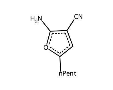 CCCCCc1cc(C#N)c(N)o1